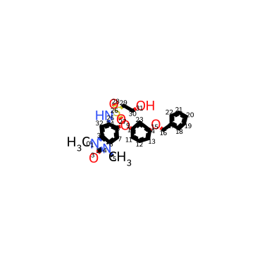 Cn1c(=O)n(C)c2cc(Oc3cccc(OCc4ccccc4)c3)c(NS(=O)(=O)CCO)cc21